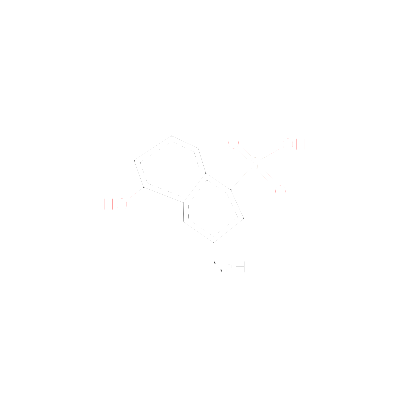 O=S(=O)(O)c1cccc2c(O)cccc12.[NaH]